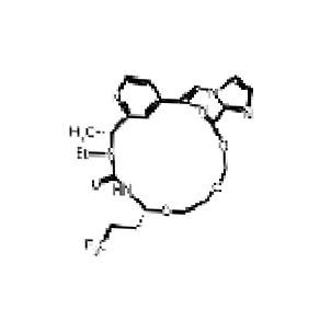 CCN1C(=O)N[C@@H](CCC(F)(F)F)CCCCCOc2nc(cn3ccnc23)-c2ccnc(c2)[C@H]1C